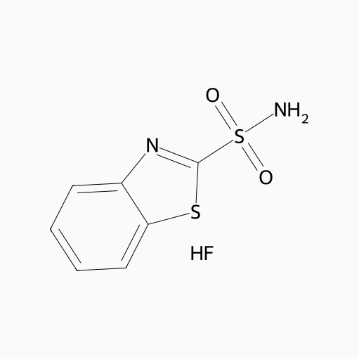 F.NS(=O)(=O)c1nc2ccccc2s1